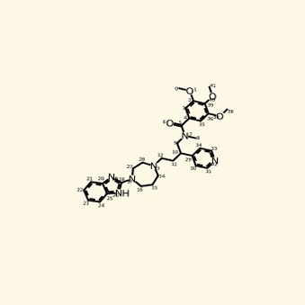 COc1cc(C(=O)N(C)CC(CCN2CCCN(c3nc4ccccc4[nH]3)CC2)c2ccncc2)cc(OC)c1OC